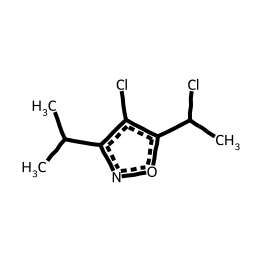 CC(C)c1noc(C(C)Cl)c1Cl